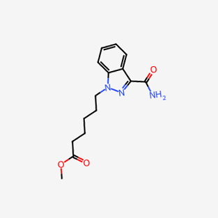 COC(=O)CCCCCn1nc(C(N)=O)c2ccccc21